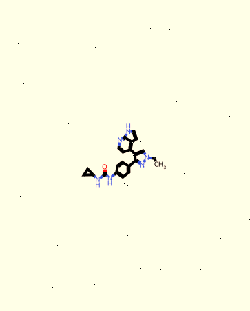 CCn1cc(-c2ccnc3[nH]ccc23)c(-c2ccc(NC(=O)NC3CC3)cc2)n1